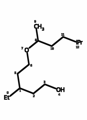 CCC(CCO)CCOC(C)CCC(C)C